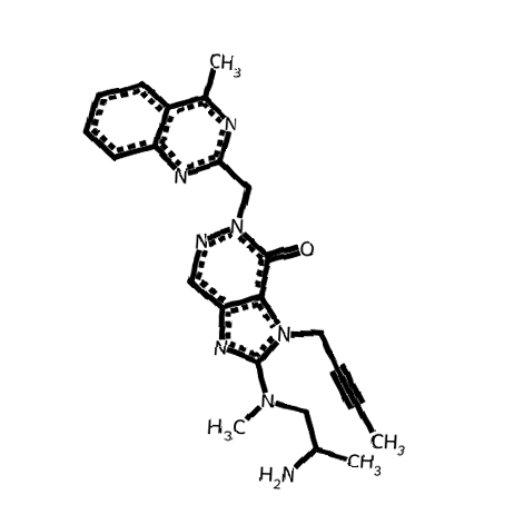 CC#CCn1c(N(C)CC(C)N)nc2cnn(Cc3nc(C)c4ccccc4n3)c(=O)c21